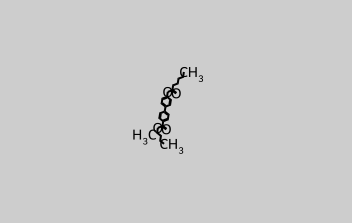 CCCCCC(=O)Oc1ccc(-c2ccc(C(=O)OC(C)CCC)cc2)cc1